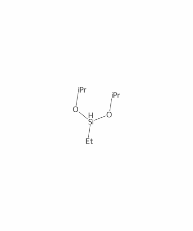 CC[SiH](OC(C)C)OC(C)C